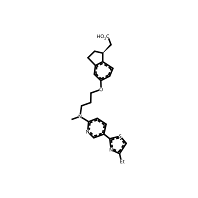 CCc1csc(-c2ccc(N(C)CCCOc3ccc4c(c3)CC[C@H]4CC(=O)O)nc2)n1